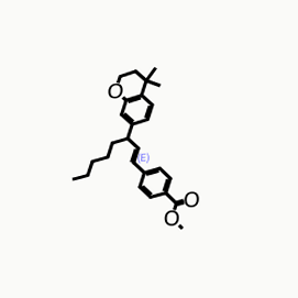 CCCCCC(/C=C/c1ccc(C(=O)OC)cc1)c1ccc2c(c1)OCCC2(C)C